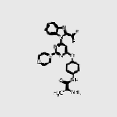 C[C@H](N)C(=O)N[C@H]1CC[C@H](Oc2cc(-n3c(C(F)F)nc4ccccc43)nc(N3CCOCC3)n2)CC1